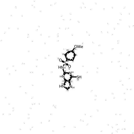 COc1ccc(S(=O)(=O)Nc2nc(S)c3nc[nH]c3n2)cc1